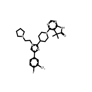 CC1(C)C(=O)Nc2ncnc(N3CCC(c4nc(-c5ccc(F)c(C(F)(F)F)c5)cn4CCN4CCCC4)CC3)c21